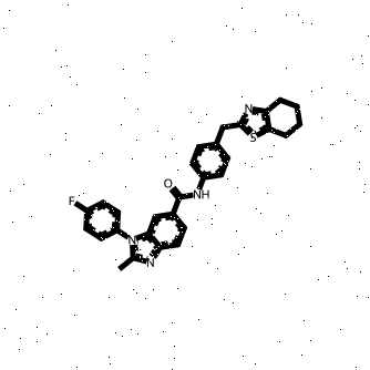 Cc1nc2ccc(C(=O)Nc3ccc(Cc4nc5c(s4)CCCC5)cc3)cc2n1-c1ccc(F)cc1